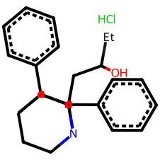 CCC(O)CC1(c2ccccc2)C(c2ccccc2)C2CCN1CC2.Cl